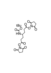 CC(C)(C)OC(=O)NC(CCC(=O)ON1C(=O)CCC1=O)CCC(=O)ON1C(=O)CCC1=O